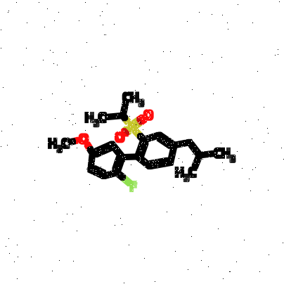 COc1ccc(F)c(-c2ccc(CC(C)C)cc2S(=O)(=O)C(C)C)c1